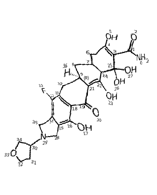 NC(=O)C1=C(O)CC2C[C@@H]3Cc4c(F)c5c(c(O)c4C(=O)C3=C(O)C2C1(O)O)CN(C1CCOC1)C5